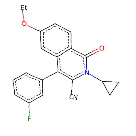 CCOc1ccc2c(=O)n(C3CC3)c(C#N)c(-c3cccc(F)c3)c2c1